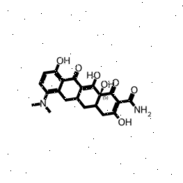 CN(C)c1ccc(O)c2c1CC1CC3CC(O)=C(C(N)=O)C(=O)[C@@]3(O)C(O)=C1C2=O